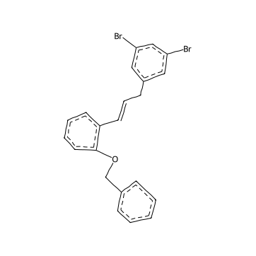 Brc1cc(Br)cc(CC=Cc2ccccc2OCc2ccccc2)c1